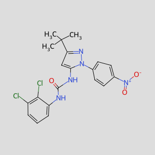 CC(C)(C)c1cc(NC(=O)Nc2cccc(Cl)c2Cl)n(-c2ccc([N+](=O)[O-])cc2)n1